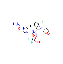 C[C@@H]1CN(Cc2nc(-c3cn(CC4CCOCC4)c4c(Cl)cccc34)no2)CCN1CC(N)=O.O=C(O)C(F)(F)F